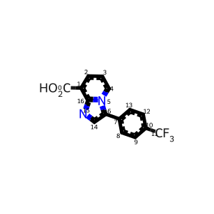 O=C(O)c1cccn2c(-c3ccc(C(F)(F)F)cc3)cnc12